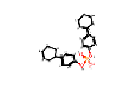 O=P(O)(Oc1ccc(C2CCCCC2)cc1)Oc1ccc(C2CCCCC2)cc1